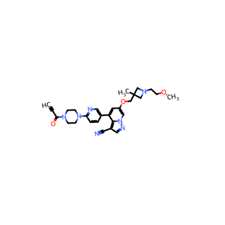 C#CC(=O)N1CCN(c2ccc(-c3cc(OCC4(C)CN(CCOC)C4)cn4ncc(C#N)c34)cn2)CC1